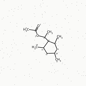 CC(=O)OC(C)C1C(C)CC(C)CC1C